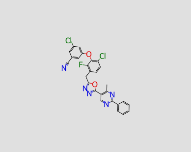 Cc1nc(-c2ccccc2)ncc1-c1nnc(Cc2ccc(Cl)c(Oc3cc(Cl)cc(C#N)c3)c2F)o1